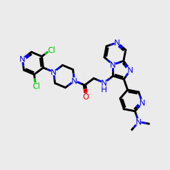 CN(C)c1ccc(-c2nc3cnccn3c2NCC(=O)N2CCN(c3c(Cl)cncc3Cl)CC2)cn1